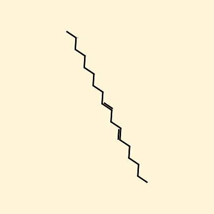 C[CH]CCCCCCC=CCC=CCCCCC